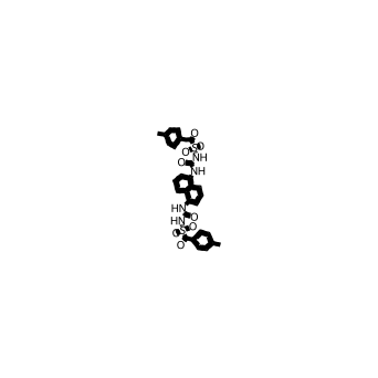 Cc1ccc(C(=O)S(=O)(=O)NC(=O)Nc2cccc3c(NC(=O)NS(=O)(=O)C(=O)c4ccc(C)cc4)cccc23)cc1